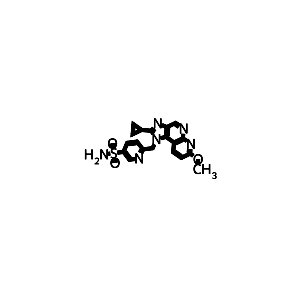 COc1ccc2c(ncc3nc(C4CC4)n(Cc4ccc(S(N)(=O)=O)cn4)c32)n1